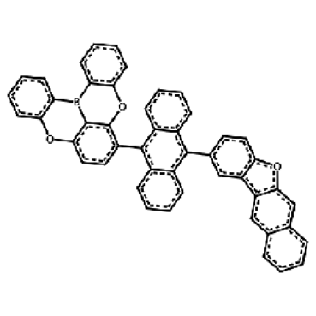 c1ccc2c(c1)Oc1ccc(-c3c4ccccc4c(-c4ccc5oc6cc7ccccc7cc6c5c4)c4ccccc34)c3c1B2c1ccccc1O3